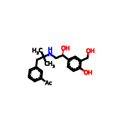 CC(=O)c1cccc(CC(C)(C)NC[C@H](O)c2ccc(O)c(CO)c2)c1